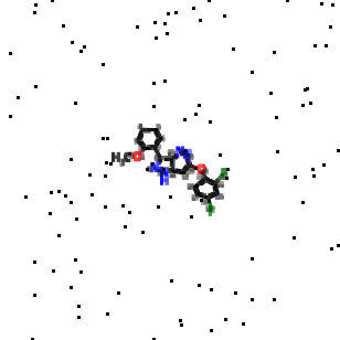 COc1ccccc1-c1n[nH]c2cc(Oc3ccc(F)cc3F)nnc12